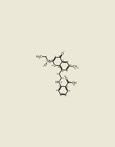 CC[S@+]([O-])c1cc(=O)c2cc(C)cc(CCNc3ccccc3C(=O)O)c2o1